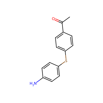 CC(=O)c1ccc(Sc2ccc(N)cc2)cc1